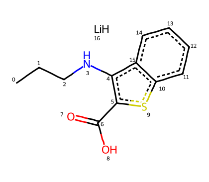 CCCNc1c(C(=O)O)sc2ccccc12.[LiH]